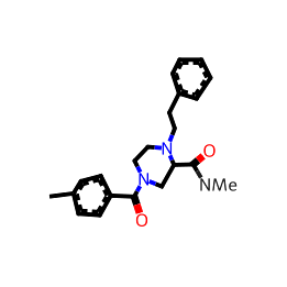 CNC(=O)C1CN(C(=O)c2ccc(C)cc2)CCN1CCc1ccccc1